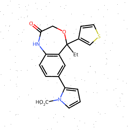 CCC1(c2ccsc2)OCC(=O)Nc2ccc(-c3cccn3C(=O)O)cc21